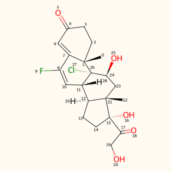 C[C@]12CCC(=O)C=C1C(F)=C[C@H]1[C@@H]3CC[C@](O)(C(=O)CO)[C@@]3(C)C[C@H](O)[C@@]12Cl